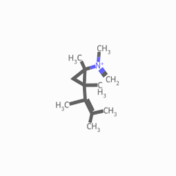 C=[N+](C)C1(C)CC1(C)C(C)=C(C)C